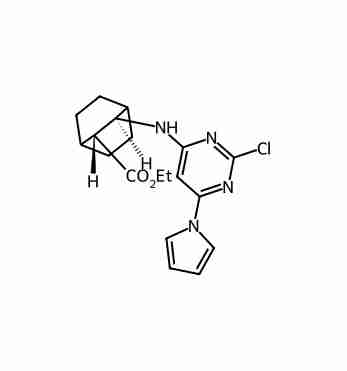 CCOC(=O)[C@@H]1C2CCC(CC2)[C@H]1Nc1cc(-n2cccc2)nc(Cl)n1